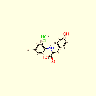 Cl.O=C(O)C(Cc1ccc(O)cc1)Nc1ccc(F)cc1Cl